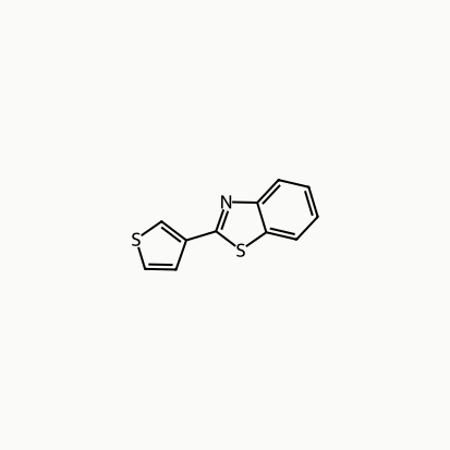 c1ccc2sc(-c3ccsc3)nc2c1